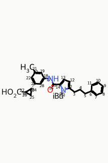 CC[C@H](C)n1c(CCCc2ccccc2)ccc1C(=O)Nc1cc(C)cc([C@@H]2C[C@H]2C(=O)O)c1